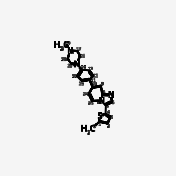 Cc1ccc(-c2cnc3cc(-c4ccc(N5CCN(C)CC5)cc4)ccn23)s1